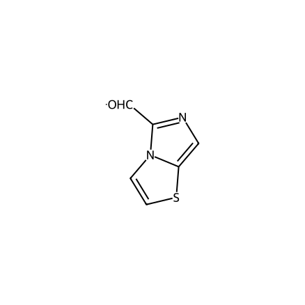 O=[C]c1ncc2sccn12